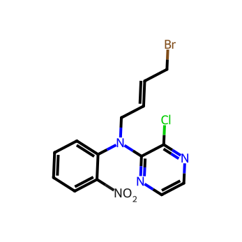 O=[N+]([O-])c1ccccc1N(C/C=C/CBr)c1nccnc1Cl